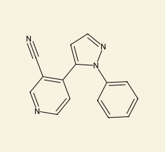 N#Cc1cnccc1-c1ccnn1-c1ccccc1